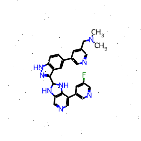 CN(C)Cc1cncc(-c2ccc3[nH]nc(C4Nc5cncc(-c6cncc(F)c6)c5N4)c3c2)c1